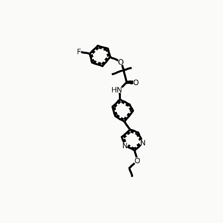 CCOc1ncc(-c2ccc(NC(=O)C(C)(C)Oc3ccc(F)cc3)cc2)cn1